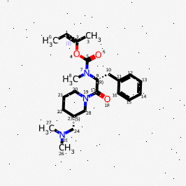 C/C=C(/C)OC(=O)N(C)[C@H](Cc1ccccc1)C(=O)N1CCC[C@@H](CN(C)C)C1